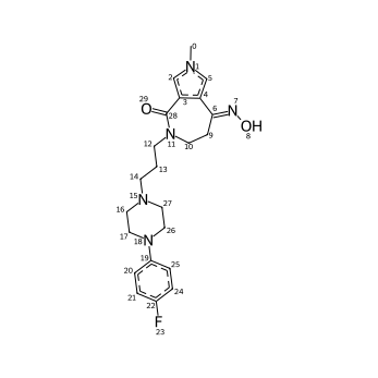 Cn1cc2c(c1)/C(=N/O)CCN(CCCN1CCN(c3ccc(F)cc3)CC1)C2=O